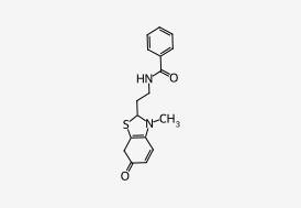 CN1C2=C(CC(=O)C=C2)SC1CCNC(=O)c1ccccc1